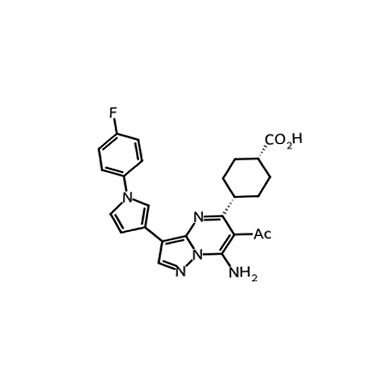 CC(=O)c1c(N)n2ncc(-c3ccn(-c4ccc(F)cc4)c3)c2nc1[C@H]1CC[C@@H](C(=O)O)CC1